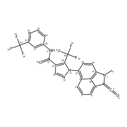 Cn1c(=C=O)c2cccc3c(-n4ncc(C(=O)Nc5ccnc(C(F)(F)F)c5)c4C(F)(F)F)ccc1c32